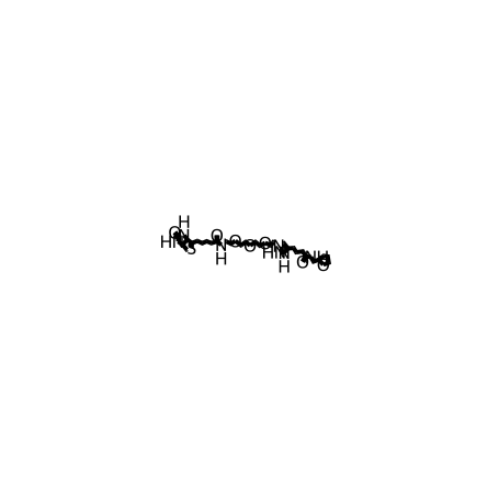 O=C(CCCCC1SCC2NC(=O)NC21)NCCOCCOCCOCCN1C=C(CCCC(=O)NCC2CCCO2)NN1